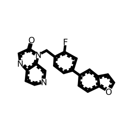 O=c1cnc2ccncc2n1Cc1ccc(-c2ccc3occc3c2)cc1F